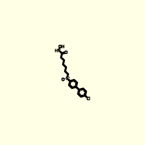 O=C(CCCCCC[S+]([O-])c1ccc(-c2ccc(Cl)cc2)cc1)NO